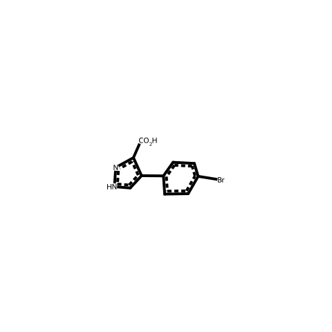 O=C(O)c1n[nH]cc1-c1ccc(Br)cc1